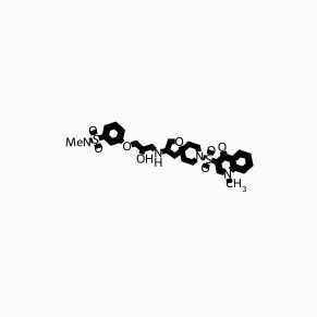 CNS(=O)(=O)c1cccc(OCC(O)CNC2COC3(CCN(S(=O)(=O)c4cn(C)c5ccccc5c4=O)CC3)C2)c1